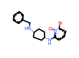 [O-][n+]1c(Br)cccc1N[C@H]1CC[C@@H](NCc2ccccc2)CC1